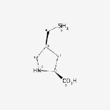 O=C(O)[C@@H]1C[C@H](C[SiH3])CN1